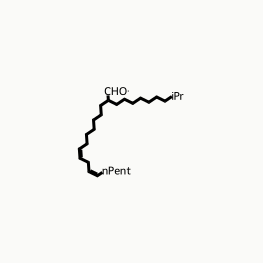 CCCCC/C=C\C/C=C\CCCCCCC([C]=O)CCCCCCCC(C)C